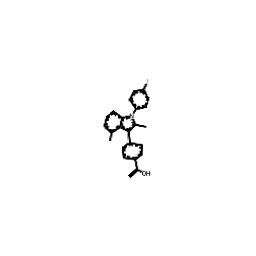 C=C(O)c1ccc(-c2c(C)n(-c3ccc(F)cc3)c3cccc(C)c23)cc1